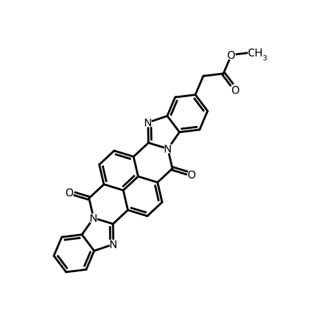 COC(=O)Cc1ccc2c(c1)nc1c3ccc4c(=O)n5c6ccccc6nc5c5ccc(c(=O)n21)c3c45